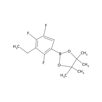 CCc1c(F)c(F)cc(B2OC(C)(C)C(C)(C)O2)c1F